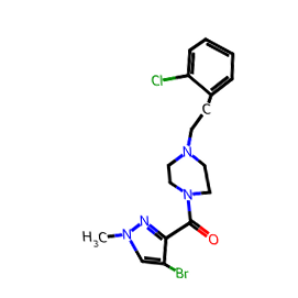 Cn1cc(Br)c(C(=O)N2CCN(CCc3ccccc3Cl)CC2)n1